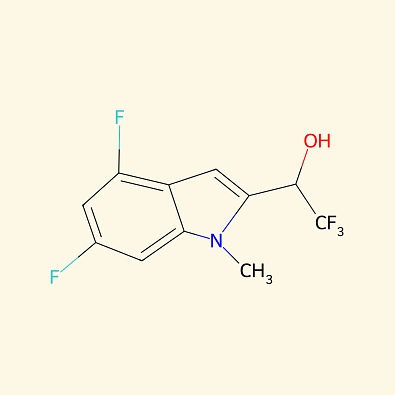 Cn1c(C(O)C(F)(F)F)cc2c(F)cc(F)cc21